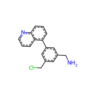 NCc1cc(CCl)cc(-c2cccc3ncccc23)c1